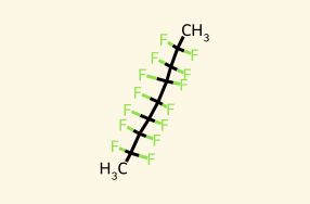 CC(F)(F)C(F)(F)C(F)(F)C(F)(F)C(F)(F)C(F)(F)C(C)(F)F